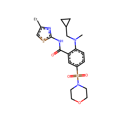 CCc1csc(NC(=O)c2cc(S(=O)(=O)N3CCOCC3)ccc2N(C)CC2CC2)n1